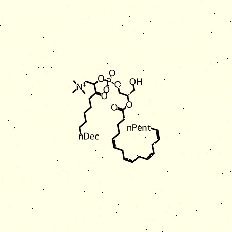 CCCCC/C=C\C/C=C\C/C=C\C/C=C\CCCC(=O)O[C@H](CO)COP(=O)([O-])OC(C[N+](C)(C)C)C(=O)CCCCCCCCCCCCCCC